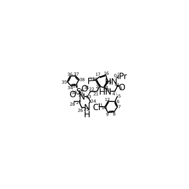 CC(C)NC(=O)[C@H](Cc1cccc(Cl)c1)Nc1cccc(F)c1CC[C@H]1CNC[C@@H](C)N1S(=O)(=O)c1ccccc1